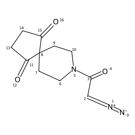 [N-]=[N+]=CC(=O)N1CCC2(CC1)C(=O)CCC2=O